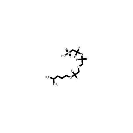 CC(C)CCCOC(F)(F)COCC(F)(F)OC(F)(F)CS(=O)(=O)O